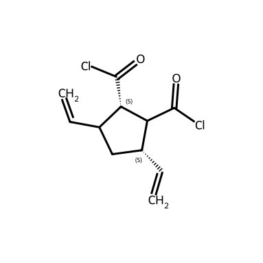 C=CC1C[C@@H](C=C)C(C(=O)Cl)[C@H]1C(=O)Cl